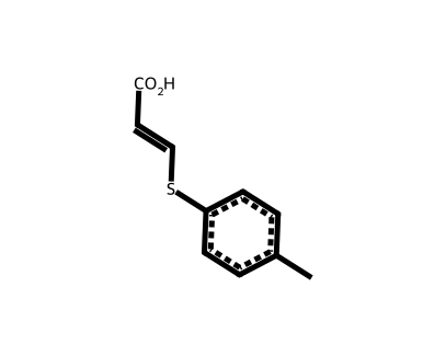 Cc1ccc(SC=CC(=O)O)cc1